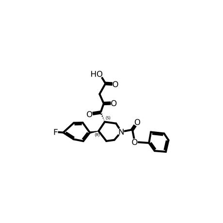 O=C(O)CC(=O)C(=O)[C@@H]1CN(C(=O)Oc2ccccc2)CC[C@H]1c1ccc(F)cc1